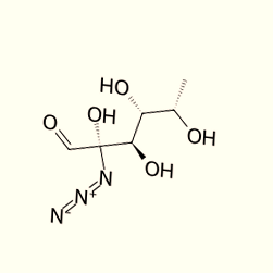 C[C@H](O)[C@@H](O)[C@@H](O)[C@](O)(C=O)N=[N+]=[N-]